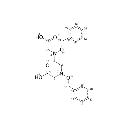 O=C(O)CN(CCN(CC(=O)O)OCc1ccccc1)OCc1ccccc1